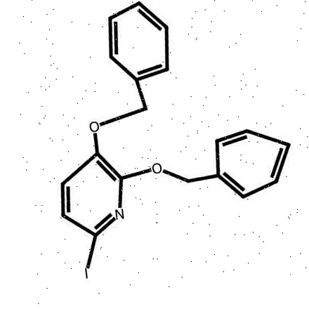 Ic1ccc(OCc2ccccc2)c(OCc2ccccc2)n1